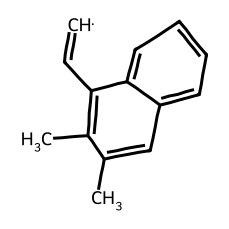 [CH]=Cc1c(C)c(C)cc2ccccc12